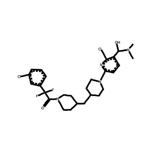 CN(C)C(O)c1ccc(N2CCC(CC3CCN(C(=O)C(F)(F)c4cccc(Cl)c4)CC3)CC2)nc1Cl